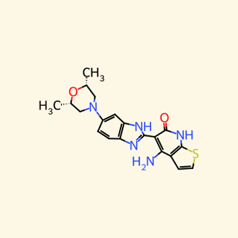 C[C@@H]1CN(c2ccc3nc(-c4c(N)c5ccsc5[nH]c4=O)[nH]c3c2)C[C@H](C)O1